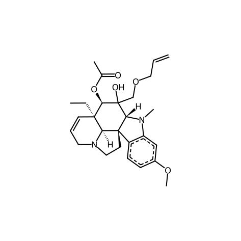 C=CCOCC1(O)[C@H](OC(C)=O)[C@]2(CC)C=CCN3CC[C@@]4(c5ccc(OC)cc5N(C)[C@@H]14)[C@@H]32